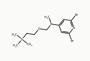 CN(COCC[Si](C)(C)C)c1cc(Br)nc(Br)c1